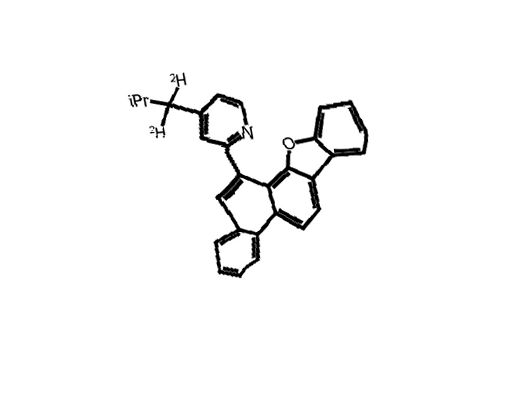 [2H]C([2H])(c1ccnc(-c2cc3ccccc3c3ccc4c5ccccc5oc4c23)c1)C(C)C